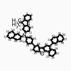 CC1(C)c2ccccc2-c2ccc(N(c3ccc(-c4ccc5oc6c7ccccc7c(-c7ccc8ccccc8c7)cc6c5c4)cc3)c3ccc4ccccc4c3)cc21